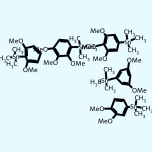 COc1c[c]([Sn]([CH3])([CH3])[CH3])cc(OC)c1OC.COc1cc(OC)c[c]([Sn]([CH3])([CH3])[CH3])c1.COc1cc[c]([Sn]([CH3])([CH3])[CH3])c(OC)c1OC.COc1cc[c]([Sn]([CH3])([CH3])[CH3])cc1OC.COc1cccc(OC)[c]1[Sn]([CH3])([CH3])[CH3]